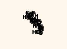 O=C(O)c1cc(N[C@@H]2CCC[C@H](Nc3nc(-c4c[nH]c5c(F)cc(F)cc45)ncc3F)C2)ncn1